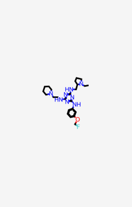 CCN1CCCC1CNc1nc(NCCN2CCCCC2)nc(Nc2cccc(OCF)c2)n1